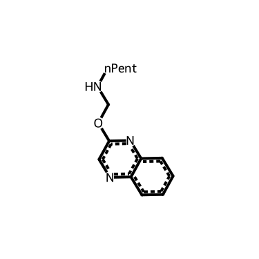 CCCCCNCOc1cnc2ccccc2n1